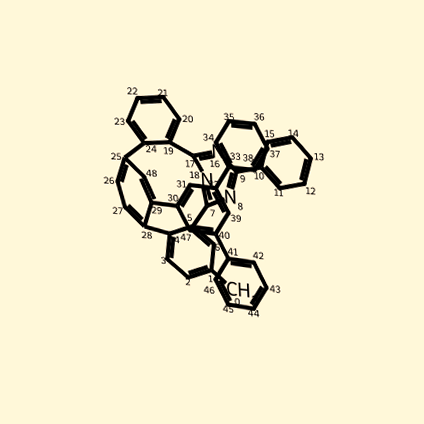 Cc1ccc2c(c1)-c1nc(-c3ccccc3)nc(n1)-c1ccccc1-c1ccc-2c(-c2cc(-c3ccccc3)cc(-c3ccccc3)c2)c1